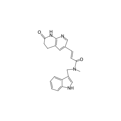 CN(Cc1c[nH]c2ccccc12)C(=O)C=Cc1cnc2c(c1)CCC(=O)N2